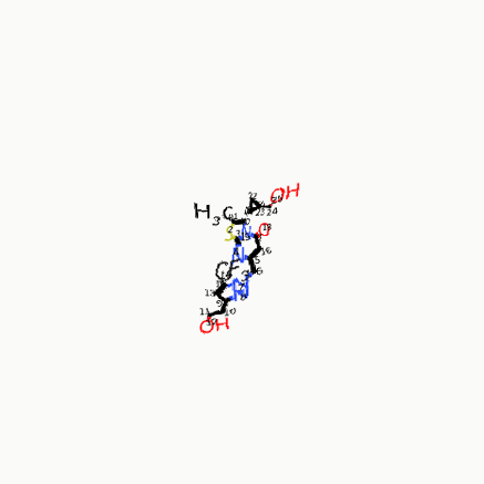 Cc1sc2nc(Cn3nc(CCO)cc3C(F)(F)F)cc(=O)n2c1[C@@H]1C[C@H]1CO